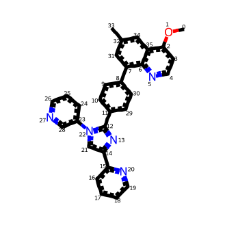 COc1ccnc2c(-c3ccc(-c4nc(-c5ccccn5)cn4-c4cccnc4)cc3)cc(C)cc12